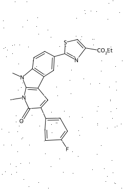 CCOC(=O)c1csc(-c2ccc3c(c2)c2cc(-c4ccc(F)cc4)c(=O)n(C)c2n3C)n1